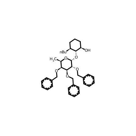 CCCC[C@H]1CCC[C@@H](O)[C@@H]1O[C@H]1O[C@H](C)[C@H](OCc2ccccc2)[C@H](OCc2ccccc2)[C@H]1OCc1ccccc1